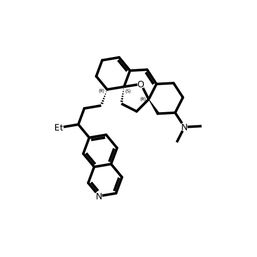 CCC(CC[C@@H]1CCC=C2C=C3CCC(N(C)C)C[C@]34CC[C@@]21O4)c1ccc2ccncc2c1